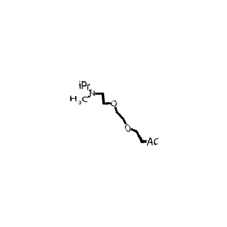 CC(=O)CCOCCOCCN(C)C(C)C